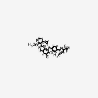 COc1ncnc(C2CC2)c1-c1ncc2cc(Cl)c(=O)n(Cc3ccc(-c4nc(C(F)(F)F)cn4C)cc3)c2n1